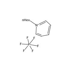 CCCCCC[n+]1ccccc1.F[P-](F)(F)(F)(F)F